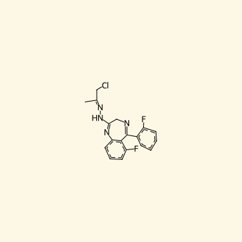 C/C(CCl)=N\NC1=Nc2cccc(F)c2C(c2ccccc2F)=NC1